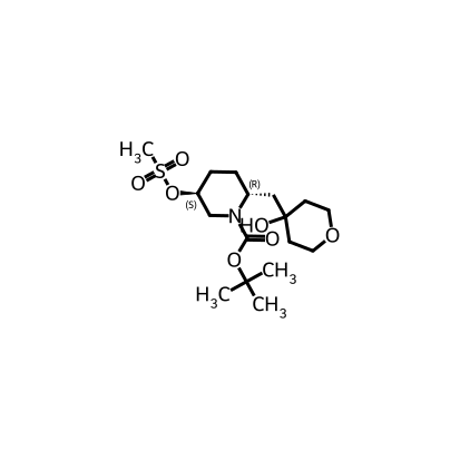 CC(C)(C)OC(=O)N1C[C@@H](OS(C)(=O)=O)CC[C@@H]1CC1(O)CCOCC1